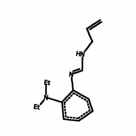 C=CCNC=Nc1ccccc1N(CC)CC